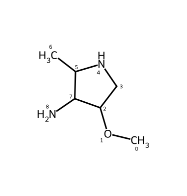 COC1CNC(C)C1N